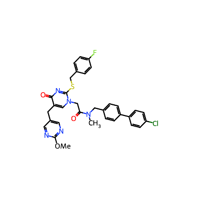 COc1ncc(Cc2cn(CC(=O)N(C)Cc3ccc(-c4ccc(Cl)cc4)cc3)c(SCc3ccc(F)cc3)nc2=O)cn1